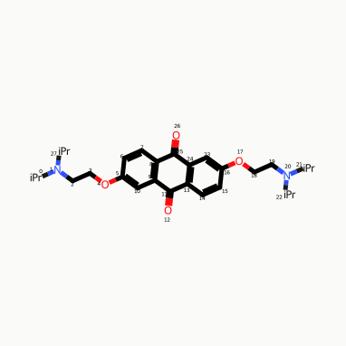 CC(C)N(CCOc1ccc2c(c1)C(=O)c1ccc(OCCN(C(C)C)C(C)C)cc1C2=O)C(C)C